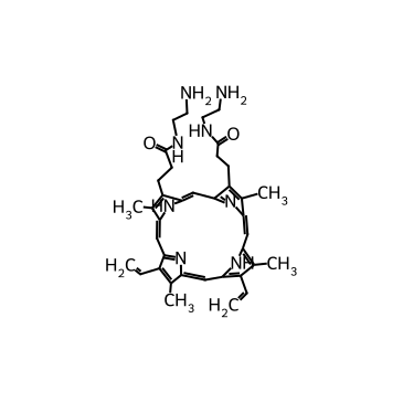 C=CC1=C(C)c2cc3[nH]c(cc4nc(cc5[nH]c(cc1n2)c(C)c5CCC(=O)NCCN)C(CCC(=O)NCCN)=C4C)c(C)c3C=C